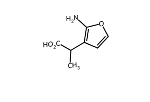 CC(C(=O)O)c1ccoc1N